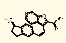 C=C1CCc2cc(/C=C\c3c(C(=O)CCC)oc4cnccc34)ccc21